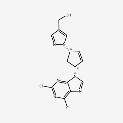 OCc1cnn([C@@H]2C=C[C@H](n3cnc4c(Cl)nc(Cl)nc43)C2)c1